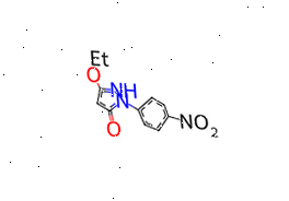 CCOc1cc(=O)n(-c2ccc([N+](=O)[O-])cc2)[nH]1